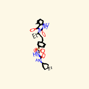 CCC1CCC(NC(=O)NS(=O)(=O)c2ccc(CC(CC)n3c(=O)[nH]c4ccccc4c3=O)cc2)CC1